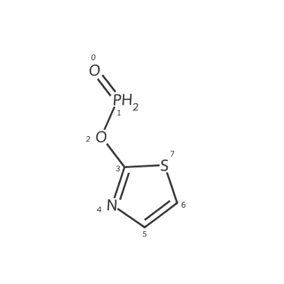 O=[PH2]Oc1nccs1